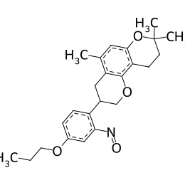 CCCOc1ccc(C2COc3c(c(C)cc4c3CCC(C)(C)O4)C2)c(N=O)c1